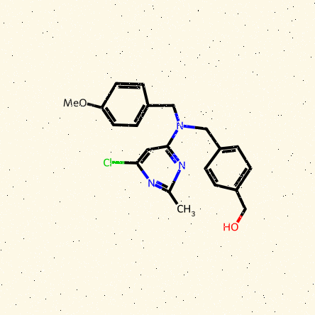 COc1ccc(CN(Cc2ccc(CO)cc2)c2cc(Cl)nc(C)n2)cc1